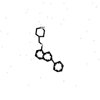 c1ccc(-c2ccc3c(SCC4CCNCC4)cccc3c2)cc1